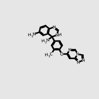 Cc1cc(C2(N)NC=Nc3ccc(N)cc32)ccc1Oc1cc2nncn2cn1